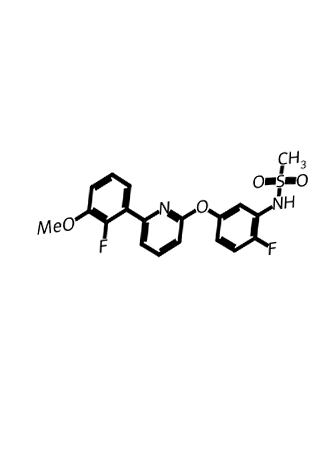 COc1cccc(-c2cccc(Oc3ccc(F)c(NS(C)(=O)=O)c3)n2)c1F